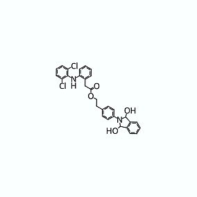 O=C(Cc1ccccc1Nc1c(Cl)cccc1Cl)OCCc1ccc(N2C(O)c3ccccc3C2O)cc1